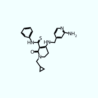 Nc1cc(CNC2=C(C(=S)Nc3ccccc3)C(=O)N(CC3CC3)CC2)ccn1